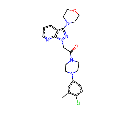 Cc1cc(N2CCN(C(=O)Cn3nc(N4CCOCC4)c4cccnc43)CC2)ccc1Cl